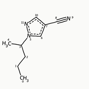 CCCC(C)n1cc(C#N)cn1